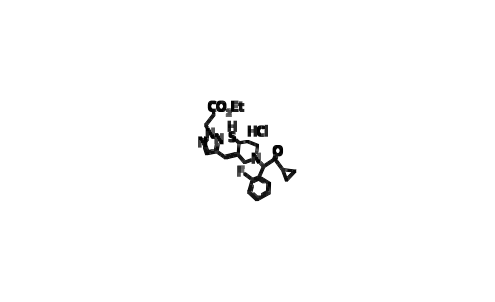 CCOC(=O)CCn1ncc(/C=C2/CN(C(C(=O)C3CC3)c3ccccc3F)CCC2S)n1.Cl